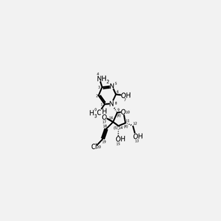 CC1=CC(N)=NC(O)N1[C@@H]1O[C@H](CO)[C@H](O)C1(O)C#CCl